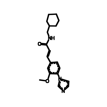 COc1cc(/C=C/C(=O)NCC2CCCCC2)ccc1-n1ccnc1